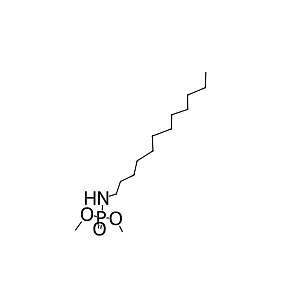 CCCCCCCCCCCCNP(=O)(OC)OC